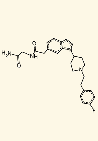 NC(=O)CNC(=O)Cc1ccc2ccn(C3CCN(CCc4ccc(F)cc4)CC3)c2c1